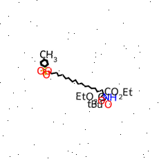 CCOC(=O)C(CCCCCCCCCCCCCCCCOS(=O)(=O)c1ccc(C)cc1)(NC(=O)OC(C)(C)C)C(=O)OCC